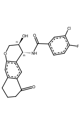 O=C(N[C@@H]1c2cc3c(cc2OC[C@H]1O)CCCC3=O)c1ccc(F)c(Cl)c1